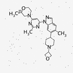 Cc1nc(N2CCO[C@H](C)C2)cc(-n2ncc3cc(C)c(C4CCN(C5COC5)CC4)cc32)n1